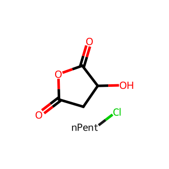 CCCCCCl.O=C1CC(O)C(=O)O1